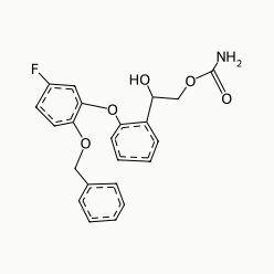 NC(=O)OCC(O)c1ccccc1Oc1cc(F)ccc1OCc1ccccc1